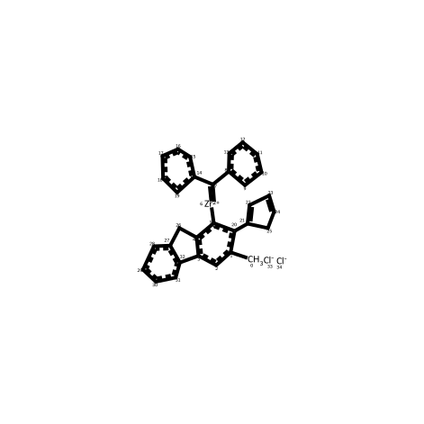 Cc1cc2c([c]([Zr+2]=[C](c3ccccc3)c3ccccc3)c1C1=CC=CC1)Cc1ccccc1-2.[Cl-].[Cl-]